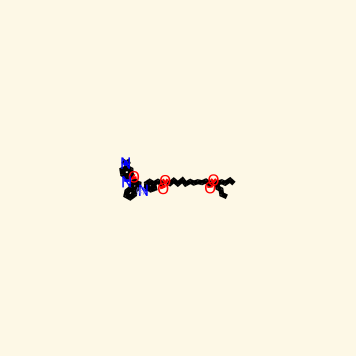 CCCCC(CCCC)OC(=O)CCCCCCCCCCOC(=O)Cc1ccc(/N=c2\cc3oc4cc(N(C)C)ccc4nc-3c3ccccc23)cc1